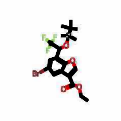 CCOC(=O)c1coc2c(C(O[Si](C)(C)C(C)(C)C)C(F)(F)F)cc(Br)cc12